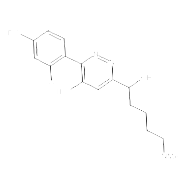 CNCCCCC(O)c1cc(C)c(-c2ccc(C(F)(F)F)cc2O)nn1